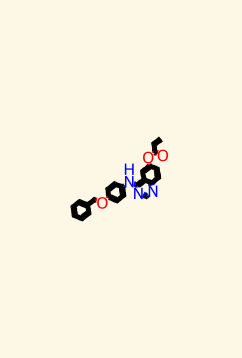 C=CC(=O)Oc1ccc2ncnc(Nc3ccc(OCc4ccccc4)cc3)c2c1